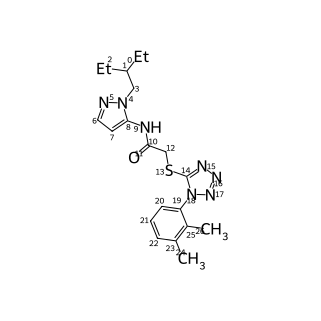 CCC(CC)Cn1nccc1NC(=O)CSc1nnnn1-c1cccc(C)c1C